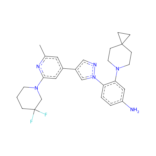 Cc1cc(-c2cnn(-c3ccc(N)cc3N3CCC4(CC3)CC4)c2)cc(N2CCCC(F)(F)C2)n1